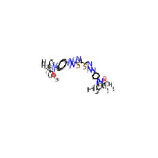 C=C(C)C(=O)N(CC)c1ccc(/N=N/c2ncc(-c3cnc(/N=N/c4ccc(N(CC)C(=O)C(=C)C)cc4)s3)s2)cc1